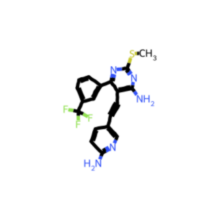 CSc1nc(N)c(C#Cc2ccc(N)nc2)c(-c2cccc(C(F)(F)F)c2)n1